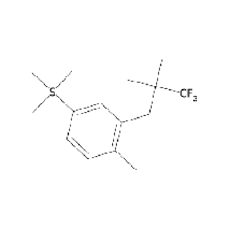 Cc1ccc(S(C)(C)C)cc1CC(C)(C)C(F)(F)F